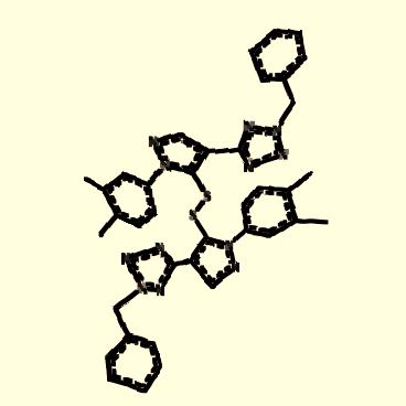 Cc1ccc(-n2ncc(-c3nnn(Cc4ccccc4)n3)c2SSc2c(-c3nnn(Cc4ccccc4)n3)cnn2-c2ccc(C)c(C)c2)cc1C